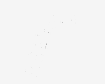 C=C1CNc2c(C(=O)c3cc4cc(OC(F)F)c(N5CCN(S(C)(=O)=O)CC5)cc4[nH]3)cnn2-c2c(C)cc(Oc3ccccc3F)cc21